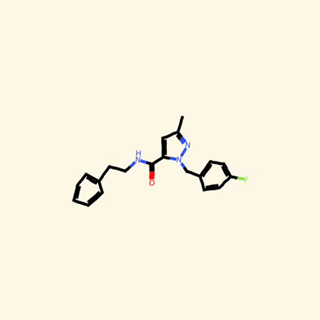 Cc1cc(C(=O)NCCc2ccccc2)n(Cc2ccc(F)cc2)n1